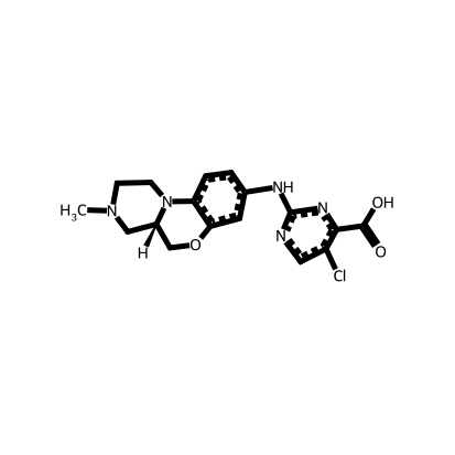 CN1CCN2c3ccc(Nc4ncc(Cl)c(C(=O)O)n4)cc3OC[C@@H]2C1